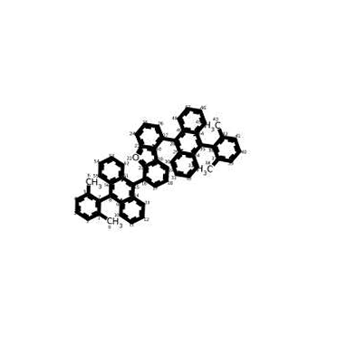 Cc1cccc(C)c1-c1c2ccccc2c(-c2cccc3c2oc2cccc(-c4c5ccccc5c(-c5c(C)cccc5C)c5ccccc45)c23)c2ccccc12